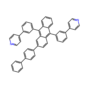 c1ccc(-c2ccc(-c3ccc4c(-c5cccc(-c6ccncc6)c5)c5ccccc5c(-c5cccc(-c6ccncc6)c5)c4c3)cc2)cc1